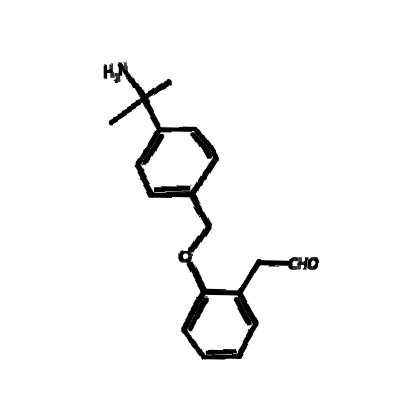 CC(C)(N)c1ccc(COc2ccccc2CC=O)cc1